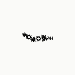 Cn1c(CO)nnc1[C@H]1CC[C@H](c2cnn([C@H]3CC[C@H](N4CCC4)CC3)c2)CC1